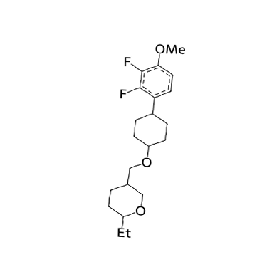 CCC1CCC(COC2CCC(c3ccc(OC)c(F)c3F)CC2)CO1